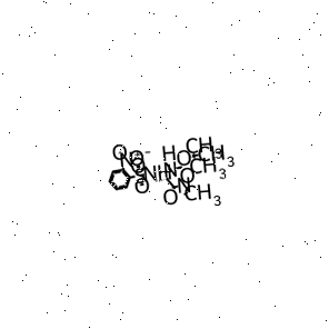 C[N]C(=O)[C@H](CNS(=O)(=O)c1ccccc1[N+](=O)[O-])NC(=O)OC(C)(C)C